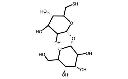 OCC1O[C@H](O[C@H]2OC(CS)[C@@H](O)C(O)C2O)C(O)[C@H](O)[C@@H]1O